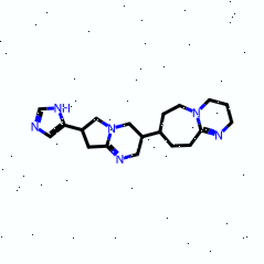 c1ncc(C2CC3=NCC(C4CCC5=NCCCN5CC4)CN3C2)[nH]1